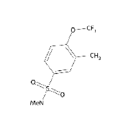 CNS(=O)(=O)c1ccc(OC(F)(F)F)c(C)c1